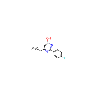 COCc1cc(O)nc(-c2ccc(F)cc2)n1